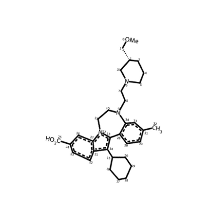 COC[C@@H]1CCCN(CCN2CCn3c(c(C4CCCCC4)c4ccc(C(=O)O)cc43)-c3ccc(C)cc32)C1